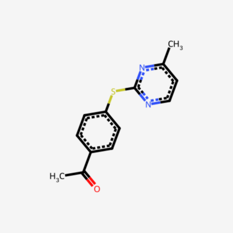 CC(=O)c1ccc(Sc2nccc(C)n2)cc1